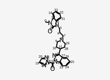 Cn1c(=O)n(CCCN2CCC(c3nn(C(=O)n4nccn4)c4ccccc34)CC2)c2ccccc21